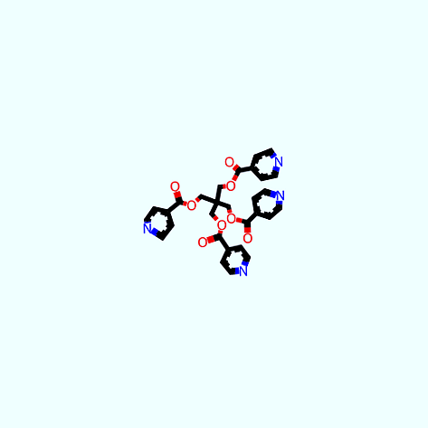 O=C(OCC(COC(=O)c1ccncc1)(COC(=O)c1ccncc1)COC(=O)c1ccncc1)c1ccncc1